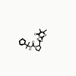 Cc1nc2sc(C3CCCN3C(=O)NC(C)(C)c3ccccc3)nn2c(=O)c1C